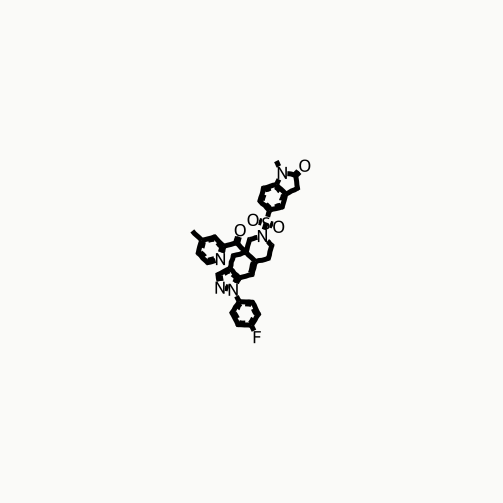 Cc1ccnc(C(=O)C23Cc4cnn(-c5ccc(F)cc5)c4C=C2CCN(S(=O)(=O)c2ccc4c(c2)CC(=O)N4C)C3)c1